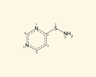 NSc1ccncn1